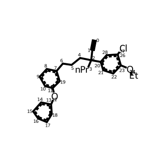 C#CC(CCC)(CCCc1cccc(Oc2ccccc2)c1)c1ccc(OCC)c(Cl)c1